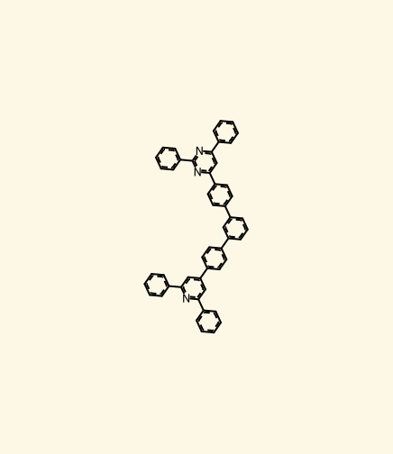 c1ccc(-c2cc(-c3ccc(-c4cccc(-c5ccc(-c6cc(-c7ccccc7)nc(-c7ccccc7)n6)cc5)c4)cc3)cc(-c3ccccc3)n2)cc1